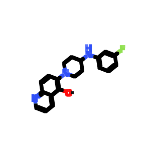 [O]c1c(N2CCC(Nc3cccc(F)c3)CC2)ccc2ncccc12